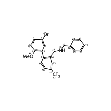 COc1ncc(Br)cc1-c1ccc(C(F)(F)F)cc1CNCc1ccccc1